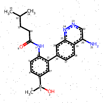 CB(O)c1ccc(NC(=O)CCC(C)C)c(-c2ccc3c(N)cnnc3c2)c1